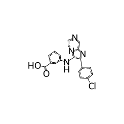 O=C(O)c1cccc(Nc2c(-c3ccc(Cl)cc3)nc3cnccn23)c1